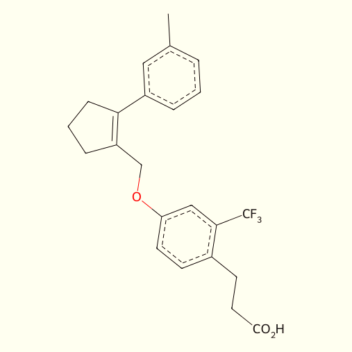 Cc1cccc(C2=C(COc3ccc(CCC(=O)O)c(C(F)(F)F)c3)CCC2)c1